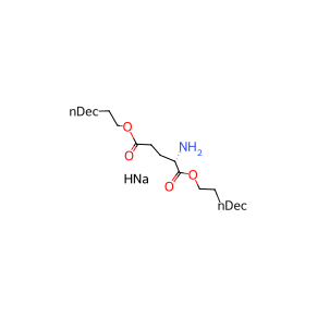 CCCCCCCCCCCCOC(=O)CC[C@H](N)C(=O)OCCCCCCCCCCCC.[NaH]